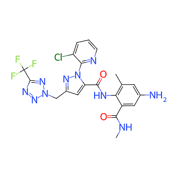 CNC(=O)c1cc(N)cc(C)c1NC(=O)c1cc(Cn2nnc(C(F)(F)F)n2)nn1-c1ncccc1Cl